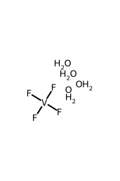 O.O.O.O.[F][V]([F])([F])[F]